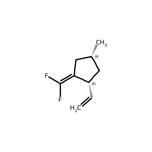 C=C[C@H]1C[C@@H](C)CC1=C(F)F